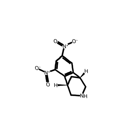 O=[N+]([O-])c1cc2c(c([N+](=O)[O-])c1)[C@H]1CNC[C@@H]2C1